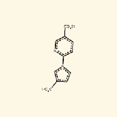 CCOC(=O)c1ccc(-n2ccc(C(=O)O)c2)nc1